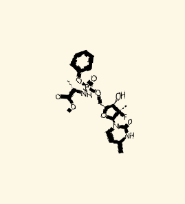 C=C1C=CN([C@@H]2O[C@H](COP(=O)(N[C@@H](C)C(=O)OC)Oc3ccccc3)[C@H](O)[C@@]2(C)F)C(=O)N1